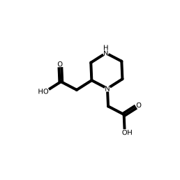 O=C(O)CC1CNCCN1CC(=O)O